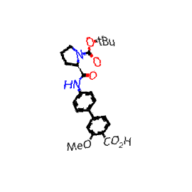 COc1cc(-c2ccc(NC(=O)[C@H]3CCCN3C(=O)OC(C)(C)C)cc2)ccc1C(=O)O